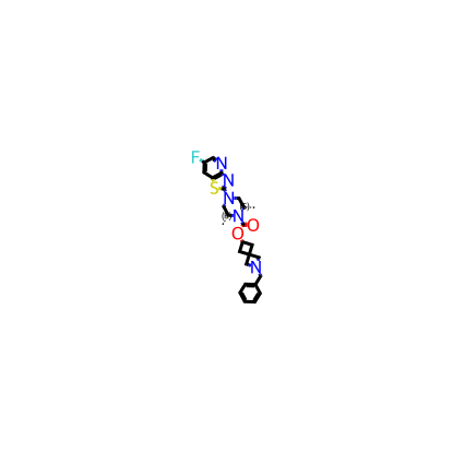 C[C@@H]1CN(c2nc3ncc(F)cc3s2)C[C@H](C)N1C(=O)OC1CC2(C1)CN(Cc1ccccc1)C2